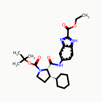 CCOC(=O)c1nc2cc(NC(=O)[C@@H]3[C@H](C4CCCCC4)CCN3C(=O)OC(C)(C)C)ccc2[nH]1